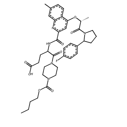 CCCCOC(=O)N1CCN(C(=O)C(CCC(=O)O)NC(=O)c2cc(O[C@H](C)C(=O)N3CCCC3c3ccc(F)cc3)c3ccc(C)cc3n2)CC1